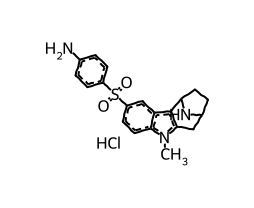 Cl.Cn1c2c(c3cc(S(=O)(=O)c4ccc(N)cc4)ccc31)C1CCC(C2)N1